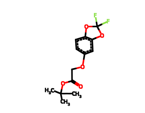 CC(C)(C)OC(=O)COc1ccc2c(c1)OC(F)(F)O2